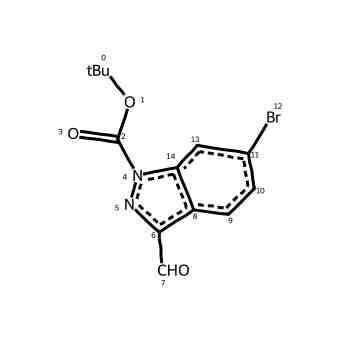 CC(C)(C)OC(=O)n1nc(C=O)c2ccc(Br)cc21